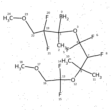 BC(C)(OC(F)(F)C(F)C(C)(C)OC(F)(F)COC)C(F)(F)COC